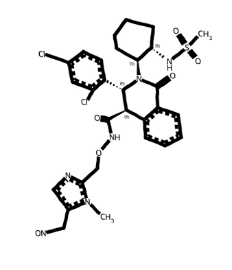 Cn1c(CN=O)cnc1CONC(=O)[C@@H]1c2ccccc2C(=O)N([C@H]2CCCC[C@@H]2NS(C)(=O)=O)[C@H]1c1ccc(Cl)cc1Cl